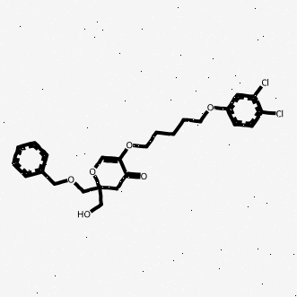 O=C1CC(CO)(COCc2ccccc2)OC=C1OCCCCCOc1ccc(Cl)c(Cl)c1